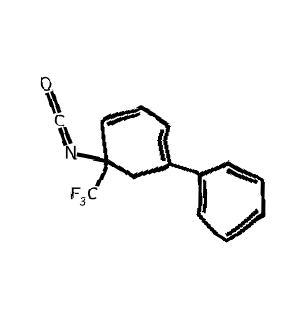 O=C=NC1(C(F)(F)F)C=CC=C(c2ccccc2)C1